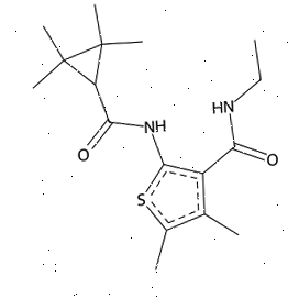 CCNC(=O)c1c(NC(=O)C2C(C)(C)C2(C)C)sc(C)c1C